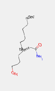 CCCCCC(N)=O.CCCCCCCCCCCCCCCCCCO